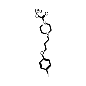 CC(C)(C)OC(=O)N1CCN(CCCOc2ccc(I)cc2)CC1